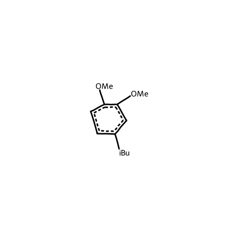 [CH2]CC(C)c1ccc(OC)c(OC)c1